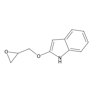 c1ccc2[nH]c(OCC3CO3)cc2c1